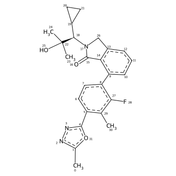 Cc1nnc(-c2ccc(-c3cccc4c3C(=O)N([C@H](C3CC3)C(C)(C)O)C4)c(F)c2C)o1